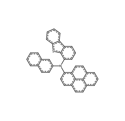 c1ccc2cc(N(c3ccc4ccc5cccc6ccc3c4c56)c3cccc4c3sc3ccccc34)ccc2c1